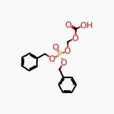 O=C(O)OCOP(=O)(OCc1ccccc1)OCc1ccccc1